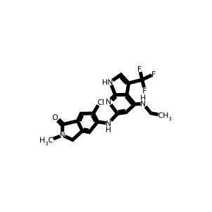 CCNc1cc(Nc2cc3c(cc2Cl)C(=O)N(C)C3)nc2[nH]cc(C(F)(F)F)c12